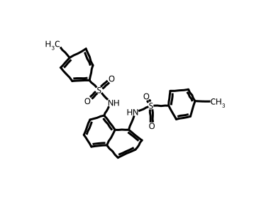 Cc1ccc(S(=O)(=O)Nc2cccc3cccc(NS(=O)(=O)c4ccc(C)cc4)c23)cc1